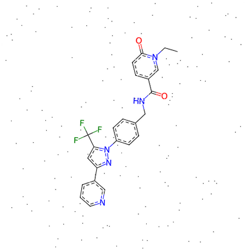 CCn1cc(C(=O)NCc2ccc(-n3nc(-c4cccnc4)cc3C(F)(F)F)cc2)ccc1=O